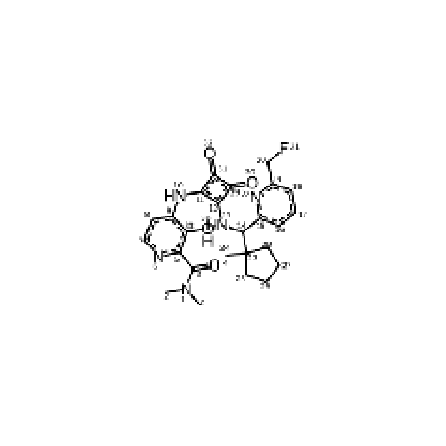 CN(C)C(=O)c1nccc(Nc2c(N[C@@H](c3cccc(CF)n3)C3(C)CCCC3)c(=O)c2=O)c1O